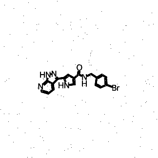 O=C(NCc1ccc(Br)cc1)c1c[nH]c(-c2n[nH]c3ncccc23)c1